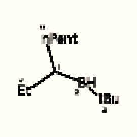 CCCCCC(BC(C)(C)C)CC